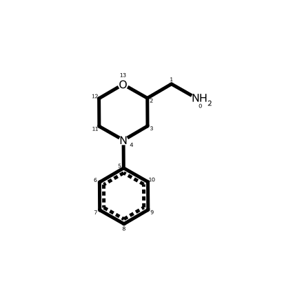 NCC1CN(c2ccccc2)CCO1